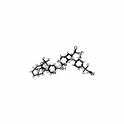 CN(C)C(=O)c1cc2cnc(Nc3ccc(N4CC5CCC(CC4=O)N5C(=O)OC(C)(C)C)cn3)nc2n1-c1ccc(C(C)(C)C#N)cc1